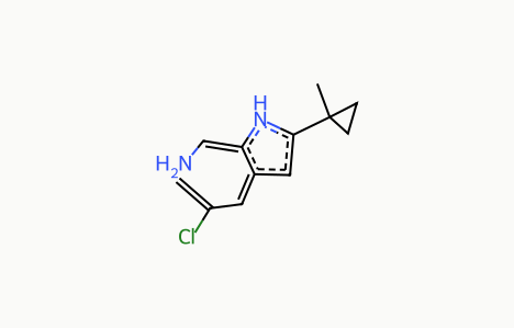 C=C(Cl)/C=c1/cc(C2(C)CC2)[nH]/c1=C/N